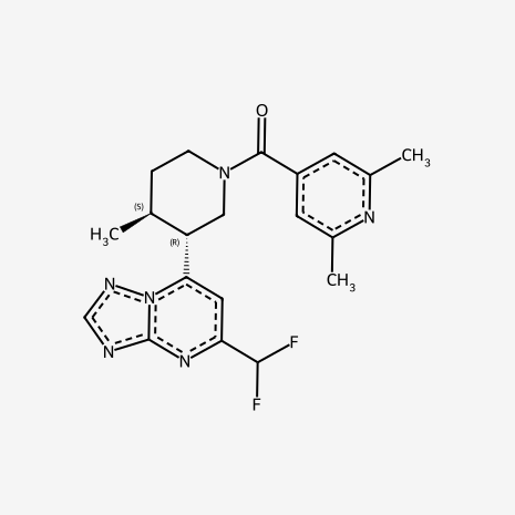 Cc1cc(C(=O)N2CC[C@H](C)[C@@H](c3cc(C(F)F)nc4ncnn34)C2)cc(C)n1